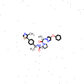 CCC[C@@H](C(=O)N1CCC[C@H]1C(=O)N[C@@H](C)c1ccc(-c2scnc2C)cc1)n1cc(Oc2ccccc2)cn1